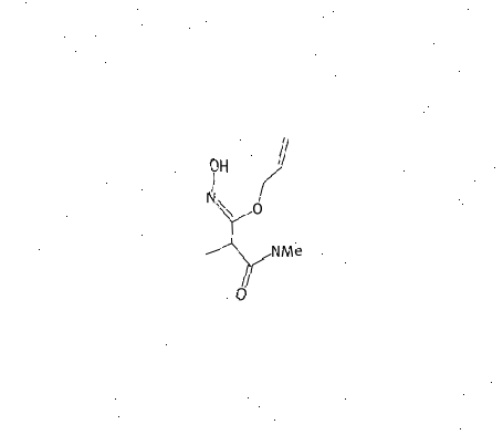 C=CCOC(=NO)C(C)C(=O)NC